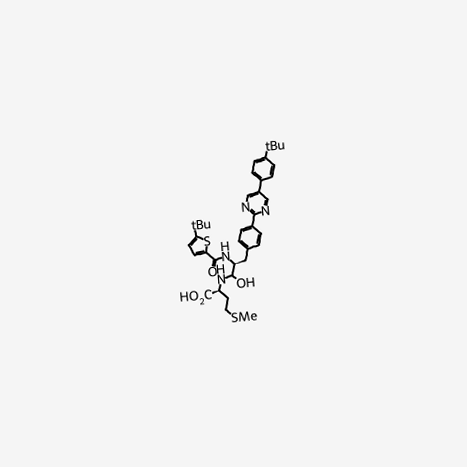 CSCC[C@H](NC(O)[C@H](Cc1ccc(-c2ncc(-c3ccc(C(C)(C)C)cc3)cn2)cc1)NC(=O)c1ccc(C(C)(C)C)s1)C(=O)O